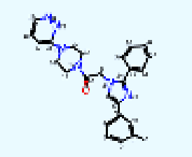 Cc1cccc(-c2cn(CC(=O)N3CCN(c4cccnn4)CC3)c(-c3ccccc3)n2)c1